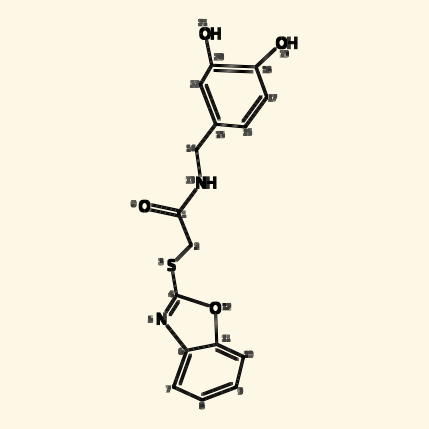 O=C(CSc1nc2ccccc2o1)NCc1ccc(O)c(O)c1